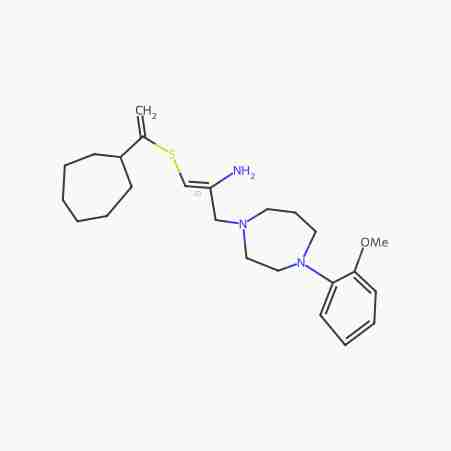 C=C(S/C=C(\N)CN1CCCN(c2ccccc2OC)CC1)C1CCCCCC1